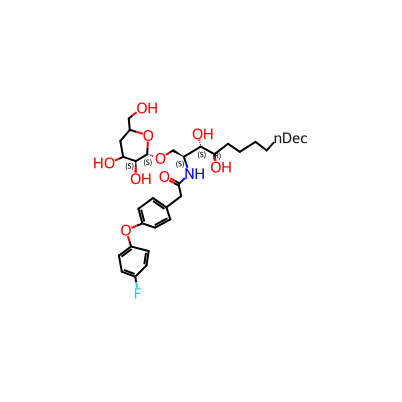 CCCCCCCCCCCCCC[C@@H](O)[C@@H](O)[C@H](CO[C@H]1OC(CO)CC(O)[C@@H]1O)NC(=O)Cc1ccc(Oc2ccc(F)cc2)cc1